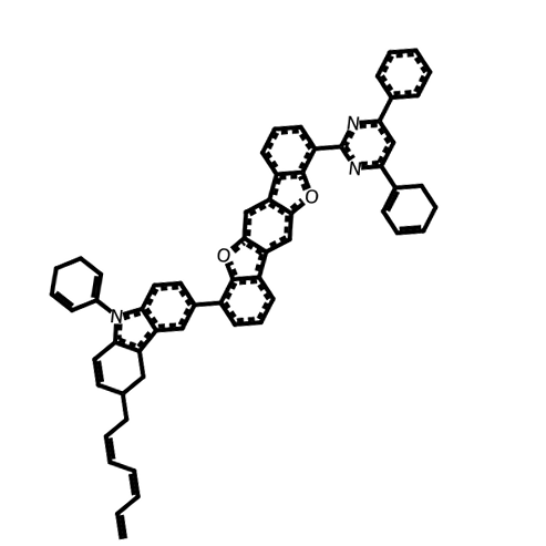 C=C/C=C\C=C/CC1C=Cc2c(c3cc(-c4cccc5c4oc4cc6c(cc45)oc4c(-c5nc(C7=CC=CCC7)cc(-c7ccccc7)n5)cccc46)ccc3n2C2=CCCC=C2)C1